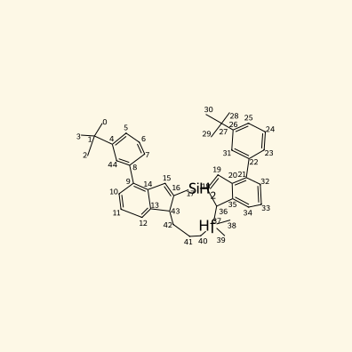 CC(C)(C)c1cccc(-c2cccc3c2C=C2[SiH2]C4=Cc5c(-c6cccc(C(C)(C)C)c6)cccc5[CH]4[Hf]([CH3])([CH3])[CH2]CCC23)c1